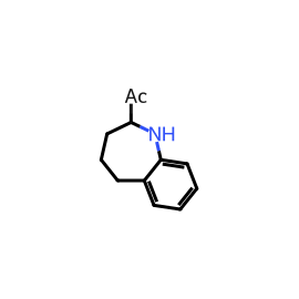 [CH2]C(=O)C1CCCc2ccccc2N1